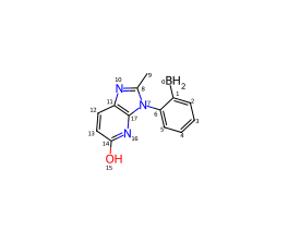 Bc1ccccc1-n1c(C)nc2ccc(O)nc21